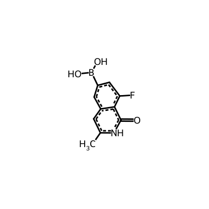 Cc1cc2cc(B(O)O)cc(F)c2c(=O)[nH]1